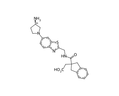 N[C@@H]1CCN(c2ccc3nc(CNC(=O)C4(CC(=O)O)Cc5ccccc5C4)sc3c2)C1